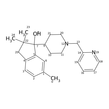 Cc1ccc2c(c1)C(O)(C1CCN(Cc3ccccn3)CC1)C(C)(C)C2